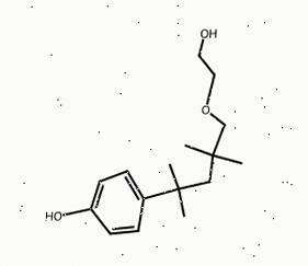 CC(C)(COCCO)CC(C)(C)c1ccc(O)cc1